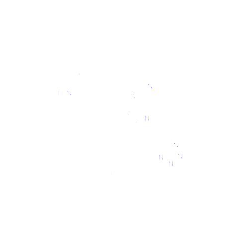 NC(=O)Cc1cccc(-c2cnc([C@@H]3CCc4cc(-c5cc(Cl)ccc5-n5cnnn5)cc(=O)n43)[nH]2)c1